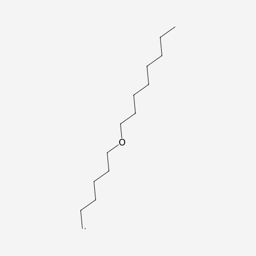 [CH2]CCCCCOCCCCCCCC